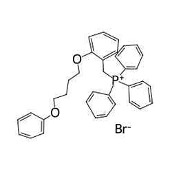 [Br-].c1ccc(OCCCCOc2ccccc2C[P+](c2ccccc2)(c2ccccc2)c2ccccc2)cc1